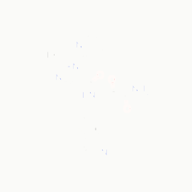 Cc1ncc(C(=O)NC(Cc2csc3ccncc23)C(=O)C(N)=O)n1-c1ccccn1